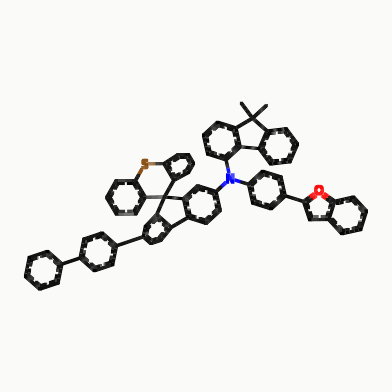 CC1(C)c2ccccc2-c2c(N(c3ccc(-c4cc5ccccc5o4)cc3)c3ccc4c(c3)C3(c5ccccc5Sc5ccccc53)c3cc(-c5ccc(-c6ccccc6)cc5)ccc3-4)cccc21